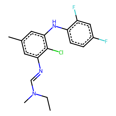 CCN(C)C=Nc1cc(C)cc(Nc2ccc(F)cc2F)c1Cl